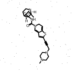 C[C@H]1[C@H](NC(=O)N2C=c3cc(C#CCN4CCN(C)CC4)sc3=CC2)C2CCN1CC2